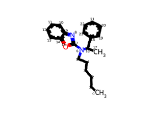 CCCCCCN(c1nc2ccccc2o1)C(C)c1ccccc1